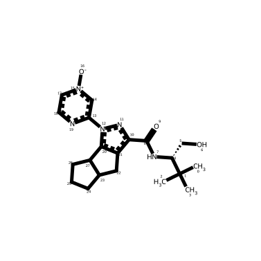 CC(C)(C)[C@@H](CO)NC(=O)c1nn(-c2c[n+]([O-])ccn2)c2c1CC1CCCC21